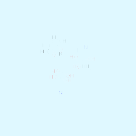 BC(O)(c1ccc(-c2ccccc2)nc1)C(O)(O)c1cc(B2OC(C)(C)C(C)(C)O2)cc(C(O)(O)C(O)(O)c2ccc(-c3ccccc3)nc2)c1